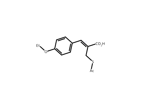 CCOc1ccc(/C=C(\CSC(C)=O)C(=O)O)cc1